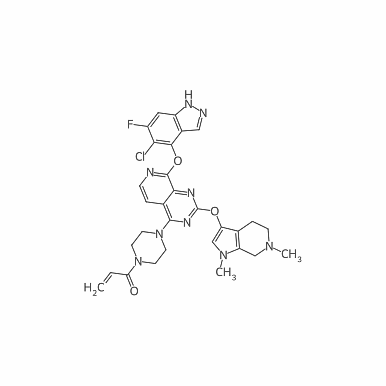 C=CC(=O)N1CCN(c2nc(Oc3cn(C)c4c3CCN(C)C4)nc3c(Oc4c(Cl)c(F)cc5[nH]ncc45)nccc23)CC1